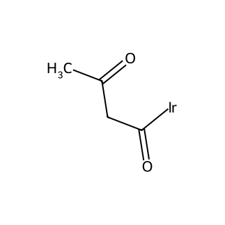 CC(=O)C[C](=O)[Ir]